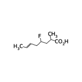 CC=CCC(F)CC(C)C(=O)O